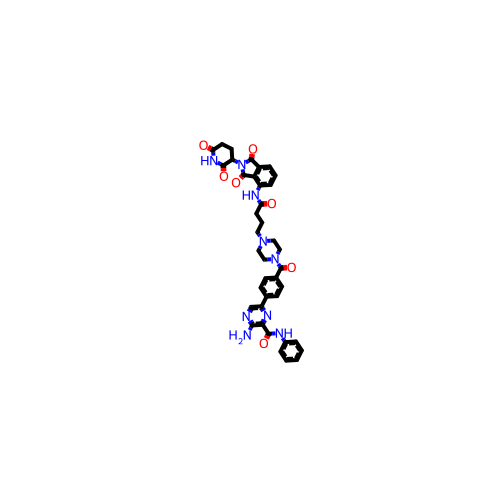 Nc1ncc(-c2ccc(C(=O)N3CCN(CCCC(=O)Nc4cccc5c4C(=O)N(C4CCC(=O)NC4=O)C5=O)CC3)cc2)nc1C(=O)Nc1ccccc1